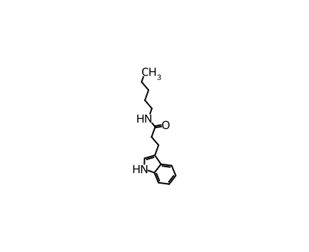 CCCCCNC(=O)CCc1c[nH]c2ccccc12